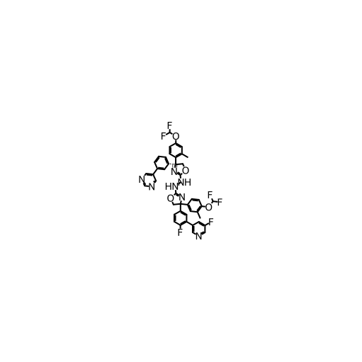 Cc1cc(C2(c3ccc(F)c(-c4cncc(F)c4)c3)COC(NNC3=N[C@@](c4cccc(-c5cncnc5)c4)(c4ccc(OC(F)F)cc4C)CO3)=N2)ccc1OC(F)F